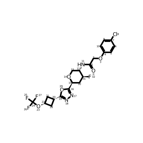 O=C(COc1ccc(Cl)cc1)N[C@H]1CO[C@H](c2nnc([C@H]3C[C@@H](OC(F)(F)F)C3)o2)C[C@@H]1F